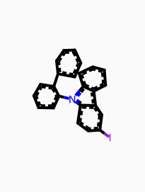 Ic1ccc2c(c1)c1ccccc1n2-c1ccccc1-c1ccccc1